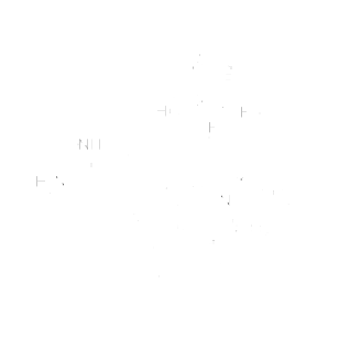 C#CC1C(c2ccc(C(=N)N)cc2)c2ccccc2C(=O)N1CC(=O)O.O=C(O)C(F)(F)F